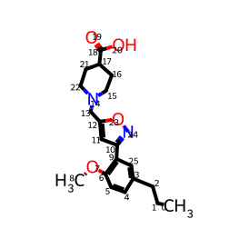 CCCc1ccc(OC)c(-c2cc(CN3CCC(C(=O)O)CC3)on2)c1